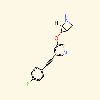 Fc1ccc(C#Cc2cncc(OC3C4CN[C@@H]43)c2)cc1